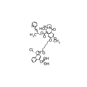 COc1cc2c(cc1OCCCCCC(=O)N1C[C@@H](CCl)c3c1cc(OP(O)O)c1ccccc31)N(C(=O)OCC(C)SSc1ccccn1)C(O)[C@@H]1CCCN1C2=O